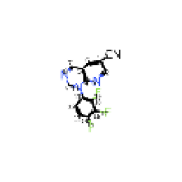 N#Cc1cnc2c(c1)C=NCN2c1ccc(F)c(F)c1F